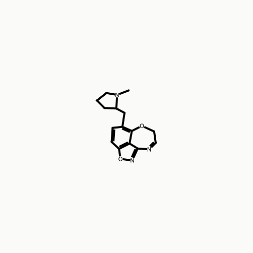 CN1CCCC1Cc1ccc2onc3c2c1OCC=N3